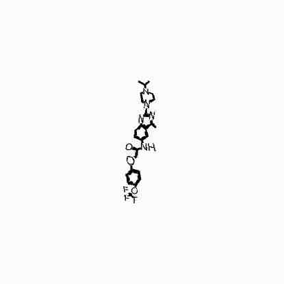 Cc1nc(N2CCN(C(C)C)CC2)nc2ccc(NC(=O)COc3ccc(OC(F)(F)F)cc3)cc12